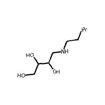 CC(C)CCNCC(O)C(O)CO